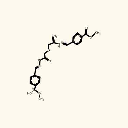 C=C(COCC(=O)N/N=C/c1ccc([C@@H](O)OC)cc1)N/N=C/c1ccc(C(=O)OC)cc1